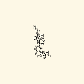 C=CC(=O)Nc1cccc2ccc(-c3cccc(C(=O)NCCC#N)n3)cc12